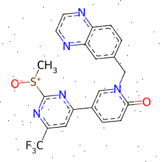 C[S+]([O-])c1nc(-c2ccc(=O)n(Cc3ccc4nccnc4c3)c2)cc(C(F)(F)F)n1